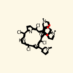 CN1C=CC=C(C2=Cc3nc2c(Cl)c2c(C4=CC=CN(C)C4)c(C4=CC=CN(C)C4)c(c(Cl)c4nc(c(Cl)c5ccc([nH]5)c3Cl)C=C4)n2C2=CC=CN(C)C2)C1